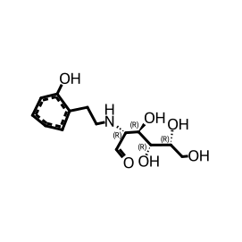 O=C[C@H](NCCc1ccccc1O)[C@@H](O)[C@@H](O)[C@H](O)CO